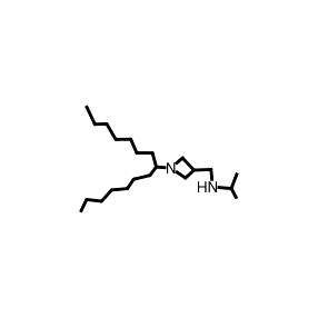 CCCCCCCC(CCCCCCC)N1CC(CNC(C)C)C1